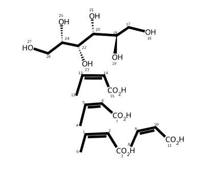 C/C=C\C(=O)O.C/C=C\C(=O)O.C/C=C\C(=O)O.C/C=C\C(=O)O.OC[C@@H](O)[C@@H](O)[C@H](O)[C@@H](O)CO